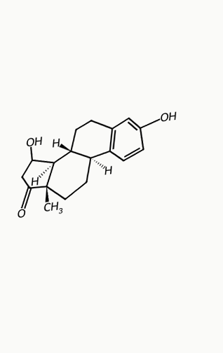 C[C@]12CC[C@@H]3c4ccc(O)cc4CC[C@H]3[C@@H]1C(O)CC2=O